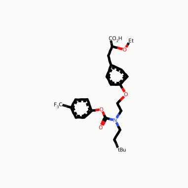 CCOC(Cc1ccc(OCCN(CCC(C)(C)C)C(=O)Oc2ccc(C(F)(F)F)cc2)cc1)C(=O)O